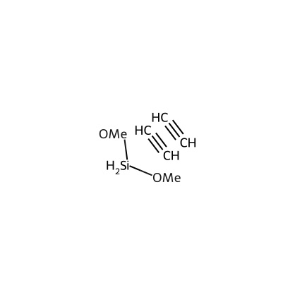 C#C.C#C.CO[SiH2]OC